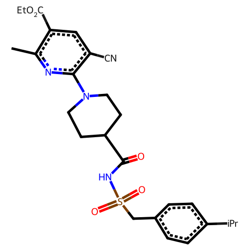 CCOC(=O)c1cc(C#N)c(N2CCC(C(=O)NS(=O)(=O)Cc3ccc(C(C)C)cc3)CC2)nc1C